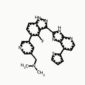 CN(C)Cc1cncc(-c2ccc3[nH]nc(-c4nc5c(-c6cccs6)ccnc5[nH]4)c3c2F)c1